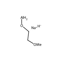 COCC[O][AlH2].[H-].[Na+]